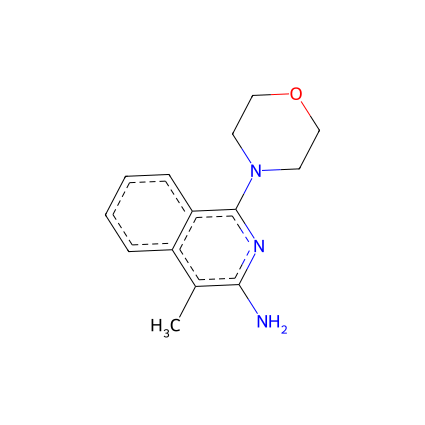 Cc1c(N)nc(N2CCOCC2)c2ccccc12